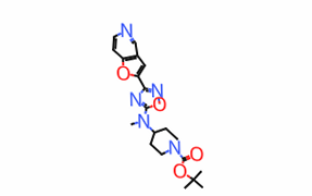 CN(c1nc(-c2cc3cnccc3o2)no1)C1CCN(C(=O)OC(C)(C)C)CC1